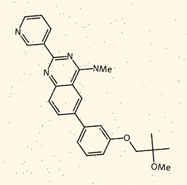 CNc1nc(-c2cccnc2)nc2ccc(-c3cccc(OCC(C)(C)OC)c3)cc12